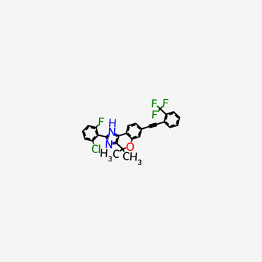 CC1(C)Oc2cc(C#Cc3ccccc3C(F)(F)F)ccc2-c2[nH]c(-c3c(F)cccc3Cl)nc21